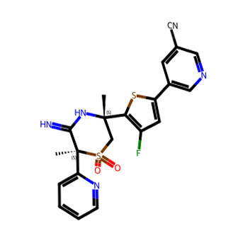 C[C@@]1(c2sc(-c3cncc(C#N)c3)cc2F)CS(=O)(=O)[C@@](C)(c2ccccn2)C(=N)N1